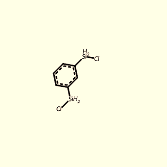 Cl[SiH2]c1cccc([SiH2]Cl)c1